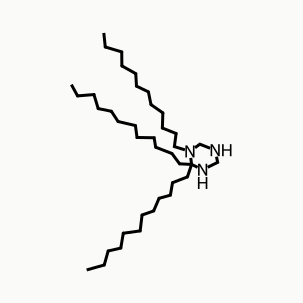 CCCCCCCCCCCCN1CNCNC1(CCCCCCCCCCCC)CCCCCCCCCCCC